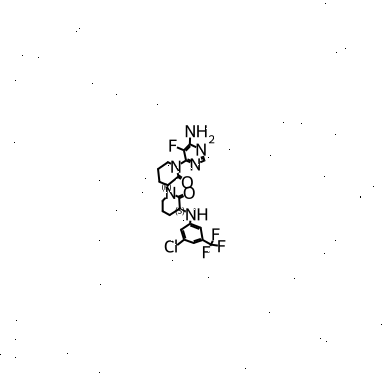 Nc1ncnc(N2CCC[C@@H](N3CCC[C@H](Nc4cc(Cl)cc(C(F)(F)F)c4)C3=O)C2=O)c1F